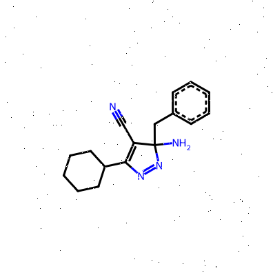 N#CC1=C(C2CCCCC2)N=NC1(N)Cc1ccccc1